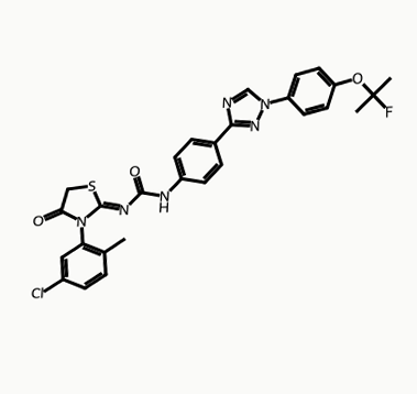 Cc1ccc(Cl)cc1N1C(=O)CS/C1=N\C(=O)Nc1ccc(-c2ncn(-c3ccc(OC(C)(C)F)cc3)n2)cc1